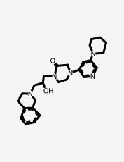 O=C1CN(c2cncc(N3CCCCC3)c2)CCN1CC(O)CN1CCc2ccccc2C1